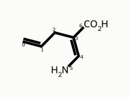 C=CCC(=CN)C(=O)O